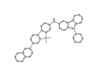 CC1(C)c2cc(Nc3ccc4c(c3)c3ccccc3n4-c3ccccc3)ccc2-c2ccc(-c3ccc4ccccc4c3)cc21